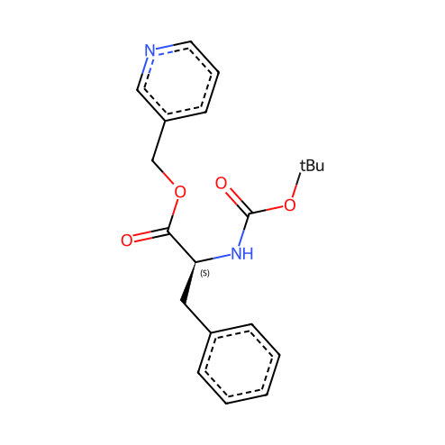 CC(C)(C)OC(=O)N[C@@H](Cc1ccccc1)C(=O)OCc1cccnc1